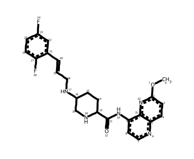 COc1ccc2nccc(NC(=O)C3CCC(NCC=Cc4cc(F)ccc4F)CN3)c2n1